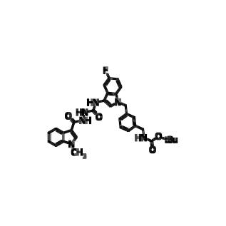 Cn1cc(C(=O)NNC(=O)Nc2cn(Cc3cccc(CNC(=O)OC(C)(C)C)c3)c3ccc(F)cc23)c2ccccc21